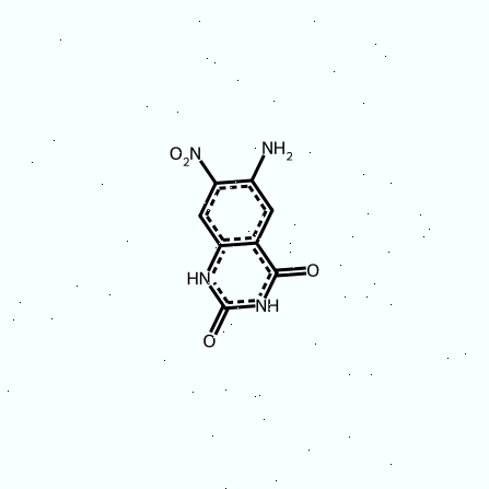 Nc1cc2c(=O)[nH]c(=O)[nH]c2cc1[N+](=O)[O-]